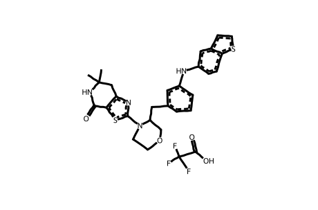 CC1(C)Cc2nc(N3CCOCC3Cc3cccc(Nc4ccc5sccc5c4)c3)sc2C(=O)N1.O=C(O)C(F)(F)F